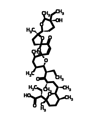 CC[C@@H](C(=O)[C@@H](C)C[C@H](C)[C@@H]1O[C@@](C)([C@@H](CC)C(=O)O)CC[C@@H]1C)[C@H]1O[C@]2(C=CC(=O)[C@]3(CC[C@@](C)([C@H]4CC[C@](O)(CC)[C@H](C)O4)O3)O2)[C@H](C)C[C@@H]1C